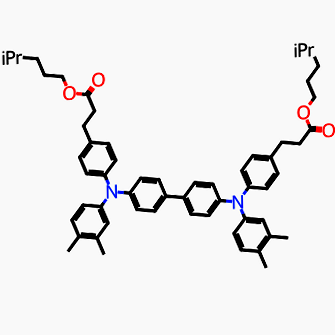 Cc1ccc(N(c2ccc(CCC(=O)OCCCC(C)C)cc2)c2ccc(-c3ccc(N(c4ccc(CCC(=O)OCCCC(C)C)cc4)c4ccc(C)c(C)c4)cc3)cc2)cc1C